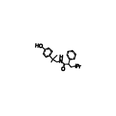 CC(C)CC(C(=O)NCC(C)(C)c1ccc(O)cc1)c1ccccc1